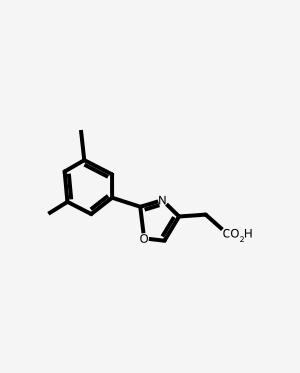 Cc1cc(C)cc(-c2nc(CC(=O)O)co2)c1